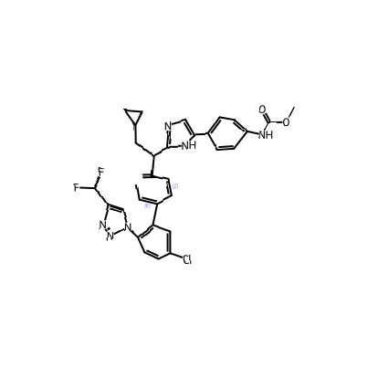 C=C(/C=C\C(=C/C)c1cc(Cl)ccc1-n1cc(C(F)F)nn1)C(CC1CC1)c1ncc(-c2ccc(NC(=O)OC)cc2)[nH]1